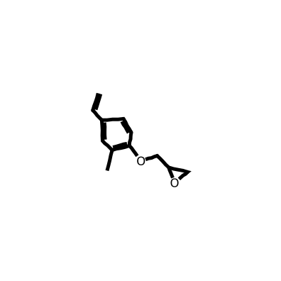 C=Cc1ccc(OCC2CO2)c(C)c1